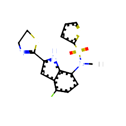 CN(c1ccc(F)c2cc(C3=NCCS3)[nH]c12)S(=O)(=O)c1cccs1